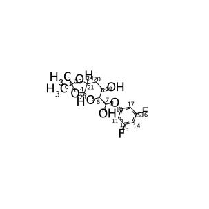 CC1(C)O[C@H]2O[C@H](C(O)Oc3cc(F)cc(F)c3)[C@@H](O)C[C@H]2O1